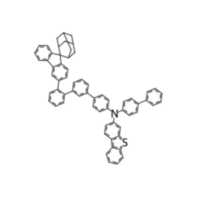 c1ccc(-c2ccc(N(c3ccc(-c4cccc(-c5ccccc5-c5ccc6c(c5)-c5ccccc5C65C6CC7CC(C6)CC5C7)c4)cc3)c3ccc4c(c3)sc3ccccc34)cc2)cc1